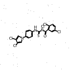 O=C(c1cc(Cl)ccc1Cl)N(Cl)C(=S)Nc1ccc(-n2cc(Cl)c(Cl)c2)cc1